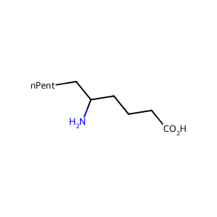 CCCCCCC(N)CCCC(=O)O